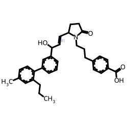 CCCc1cc(C)ccc1-c1cccc(C(O)/C=C/C2CCC(=O)N2CCCc2ccc(C(=O)O)cc2)c1